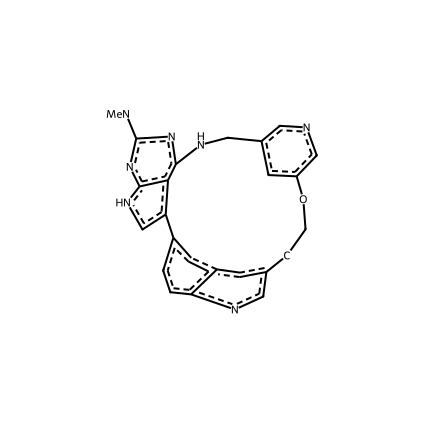 CNc1nc2c3c(c[nH]c3n1)-c1ccc3ncc(cc3c1)CCOc1cncc(c1)CN2